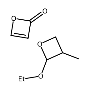 CCOC1OCC1C.O=C1C=CO1